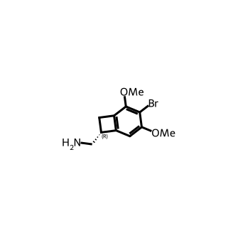 COc1cc2c(c(OC)c1Br)C[C@H]2CN